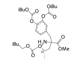 CCC(C)COC(=O)O[C@@H](C)CC(N)(Cc1ccc(OC(=O)OCC(C)C)c(OC(=O)OCC(C)C)c1)C(=O)OC